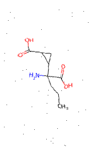 CCCC(N)(C(=O)O)C1CC1C(=O)O